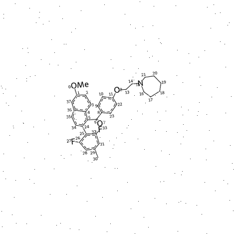 COc1ccc2c(C(=O)c3ccc(OCCN4CCCCCC4)cc3)c(-c3c(F)cc(C)cc3F)ccc2c1